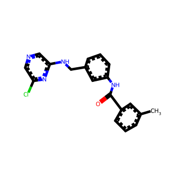 Cc1cccc(C(=O)Nc2cccc(CNc3cncc(Cl)n3)c2)c1